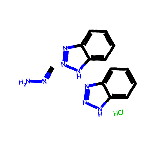 C=NN.Cl.c1ccc2[nH]nnc2c1.c1ccc2[nH]nnc2c1